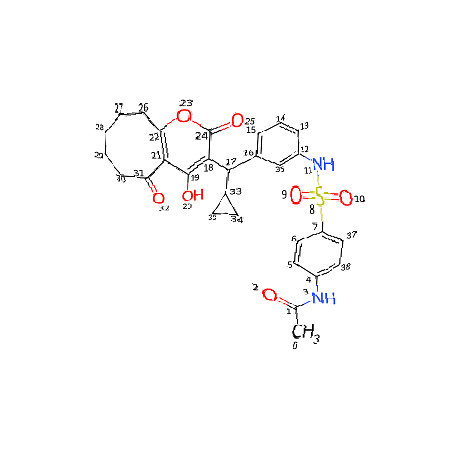 CC(=O)Nc1ccc(S(=O)(=O)Nc2cccc(C(c3c(O)c4c(oc3=O)CCCCCC4=O)C3CC3)c2)cc1